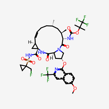 COc1ccc2c(O[C@@H]3C[C@H]4C(=O)N[C@]5(C(=O)NS(=O)(=O)C6(CF)CC6)C[C@H]5/C=C\CC[C@H](C)C[C@@H](C)[C@H](NC(=O)OC(C)(C)C(F)(F)F)C(=O)N4C3)nc(C(F)(F)F)cc2c1